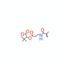 C=C(C)C(=O)NCCC(=O)OC1C(=O)OCC1(C)C